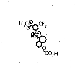 CS(=O)(=O)c1cc(C(F)(F)F)cc(S(=O)(=O)NC2CCCCc3c(OCC(=O)O)cccc32)c1